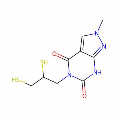 Cn1cc2c(=O)n(CC(S)CS)c(=O)[nH]c2n1